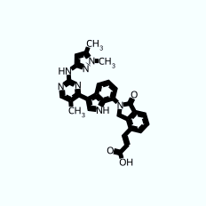 Cc1cnc(Nc2cc(C)n(C)n2)nc1-c1c[nH]c2c(N3Cc4c(/C=C/C(=O)O)cccc4C3=O)cccc12